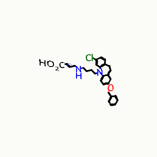 O=C(O)/C=C/CNCCCCN1C2=CC=C(OCc3ccccc3)CC2=CCc2ccc(Cl)cc21